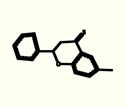 Cc1ccc2c(c1)C(=S)CC(c1ccccc1)O2